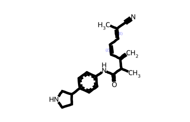 C=C(/C=C\C=C(/C)C#N)C(C)C(=O)Nc1ccc(C2CCNC2)cc1